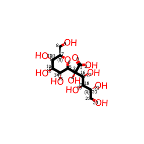 O=C(O)[C@@](O)(C1O[C@H](CO)[C@@H](O)[C@H](O)[C@H]1O)[C@@H](O)[C@H](O)[C@H](O)CO